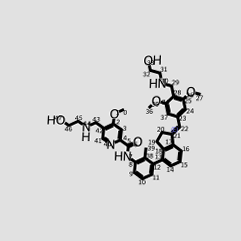 COc1cc(C(=O)Nc2cccc(-c3cccc4c3CC/C4=C\c3cc(OC)c(CNCCO)c(OC)c3)c2C)ncc1CNCCO